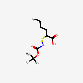 CCCCC(SNC(=O)OC(C)(C)C)C(=O)O